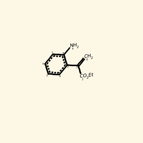 C=C(C(=O)OCC)c1ccccc1N